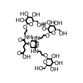 O=C(O)CCC(C(=O)NCCO[C@H]1O[C@H](CO)[C@@H](O)[C@H](O)[C@@H]1O)N(CC(=O)NCCO[C@H]1O[C@H](CO)[C@@H](O)[C@H](O)[C@@H]1O)CC(=O)NCCO[C@H]1O[C@H](CO)[C@@H](O)[C@H](O)[C@@H]1O